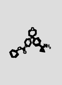 NC1(c2ccc(C3(N4CCN(C(=O)Oc5ccccc5)CC4)CCOCC3)cc2)CC1